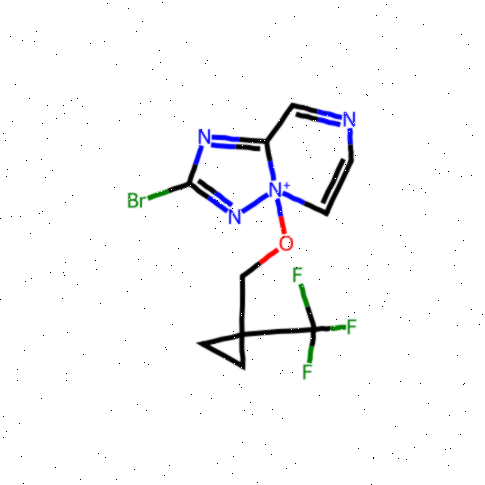 FC(F)(F)C1(CO[N+]23C=CN=CC2=NC(Br)=N3)CC1